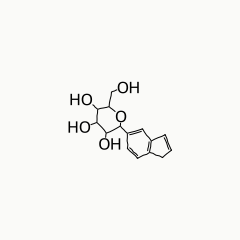 OCC1OC(c2ccc3c(c2)C=CC3)C(O)C(O)C1O